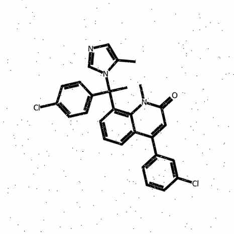 Cc1cncn1C(C)(c1ccc(Cl)cc1)c1cccc2c(-c3cccc(Cl)c3)cc(=O)n(C)c12